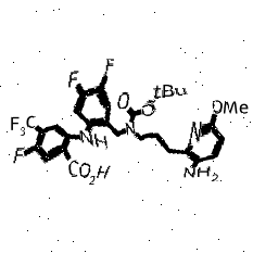 COc1ccc(N)c(CCCN(Cc2cc(F)c(F)cc2Nc2cc(C(F)(F)F)c(F)cc2C(=O)O)C(=O)OC(C)(C)C)n1